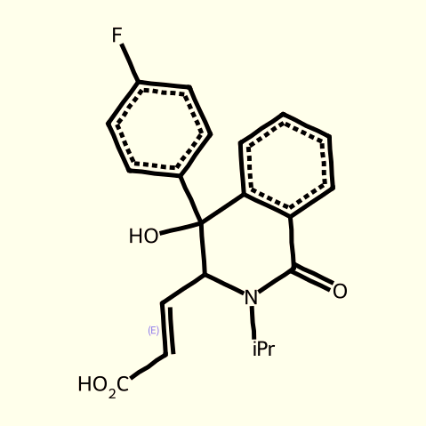 CC(C)N1C(=O)c2ccccc2C(O)(c2ccc(F)cc2)C1/C=C/C(=O)O